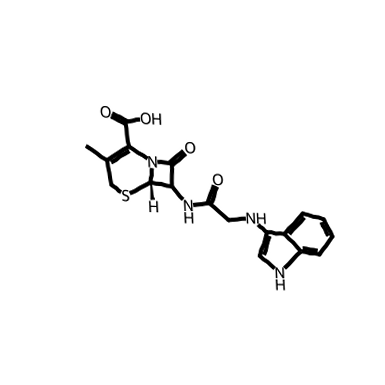 CC1=C(C(=O)O)N2C(=O)C(NC(=O)CNc3c[nH]c4ccccc34)[C@@H]2SC1